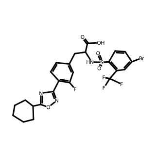 O=C(O)C(Cc1ccc(-c2noc(C3CCCCC3)n2)c(F)c1)NS(=O)(=O)c1ccc(Br)cc1C(F)(F)F